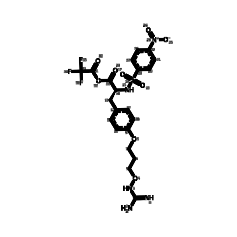 N=C(N)NOCCCOc1ccc(C[C@H](NS(=O)(=O)c2ccc([N+](=O)[O-])cc2)C(=O)OC(=O)C(F)(F)F)cc1